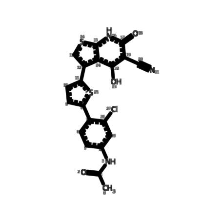 CC(=O)Nc1ccc(-c2ccc(-c3csc4[nH]c(=O)c(C#N)c(O)c34)s2)c(Cl)c1